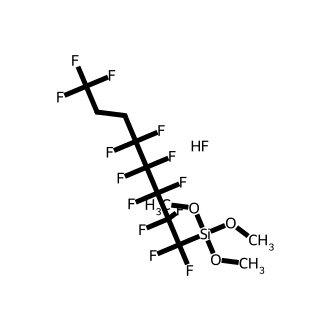 CO[Si](OC)(OC)C(F)(F)C(F)(F)C(F)(F)C(F)(F)C(F)(F)CCC(F)(F)F.F